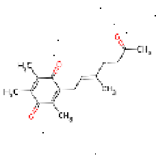 CC(=O)CC/C(C)=C/CC1=C(C)C(=O)C(C)=C(C)C1=O